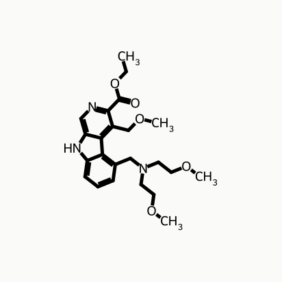 CCOC(=O)c1ncc2[nH]c3cccc(CN(CCOC)CCOC)c3c2c1COC